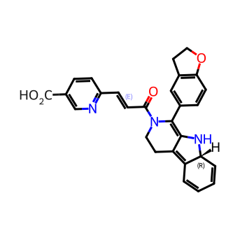 O=C(O)c1ccc(/C=C/C(=O)N2CCC3=C4C=CC=C[C@H]4NC3=C2c2ccc3c(c2)CCO3)nc1